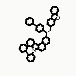 c1ccc(-c2ccc([C@H](Cc3ccc4c(c3)oc3ccccc34)c3ccc4ccc5c(c4c3)c3ccccc3n5-c3ccccc3-c3ccccc3)cc2)cc1